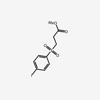 COC(=O)CCS(=O)(=O)c1ccc(I)cc1